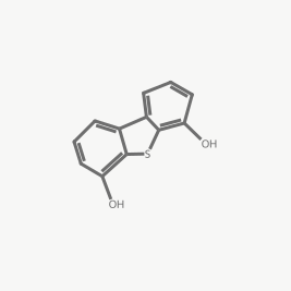 Oc1cccc2c1sc1c(O)cccc12